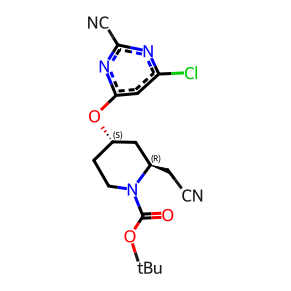 CC(C)(C)OC(=O)N1CC[C@H](Oc2cc(Cl)nc(C#N)n2)C[C@H]1CC#N